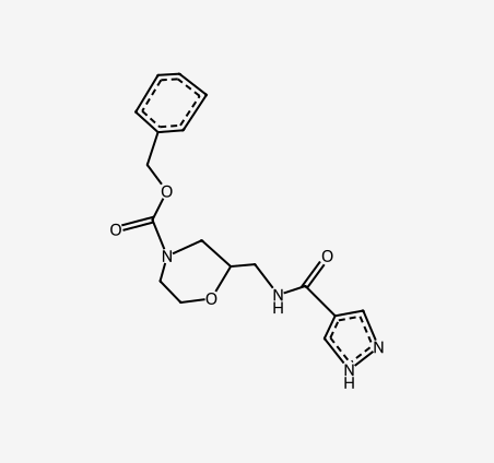 O=C(NCC1CN(C(=O)OCc2ccccc2)CCO1)c1cn[nH]c1